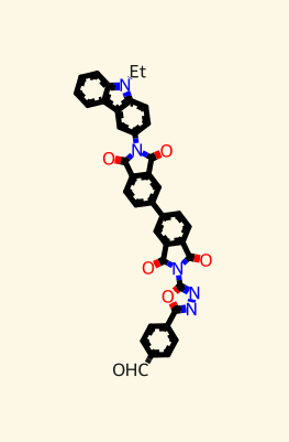 CCn1c2ccccc2c2cc(N3C(=O)c4ccc(-c5ccc6c(c5)C(=O)N(c5nnc(-c7ccc(C=O)cc7)o5)C6=O)cc4C3=O)ccc21